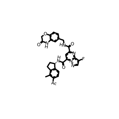 CC(=O)c1ccc2c(c1C)CC[C@@H]2NC(=O)c1cc(C(=O)NCc2ccc3c(c2)NC(=O)CO3)nc2c(F)cnn12